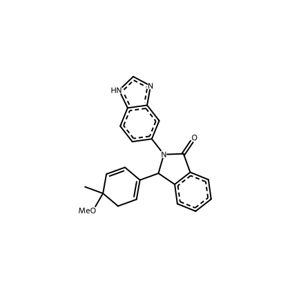 COC1(C)C=CC(C2c3ccccc3C(=O)N2c2ccc3[nH]cnc3c2)=CC1